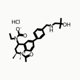 CCN(C(=O)[O-])C1C[C@H](C)[N@+](C)(C(C)=O)c2ccc(-c3ccc(CNCC(C)(C)O)cc3)cc21.Cl